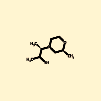 CC(S)[C@H](C)N1CCO[C@@H](C)C1